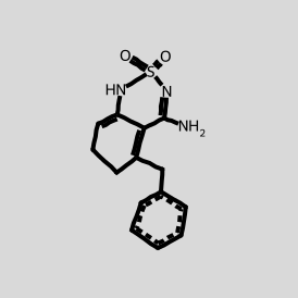 NC1=NS(=O)(=O)NC2=CCCC(Cc3ccccc3)=C21